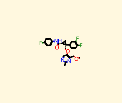 COCc1nc(C)ncc1OC[C@@]1(C2C=CC(F)=C(F)C2)C[C@H]1C(=O)Nc1ccc(F)cc1